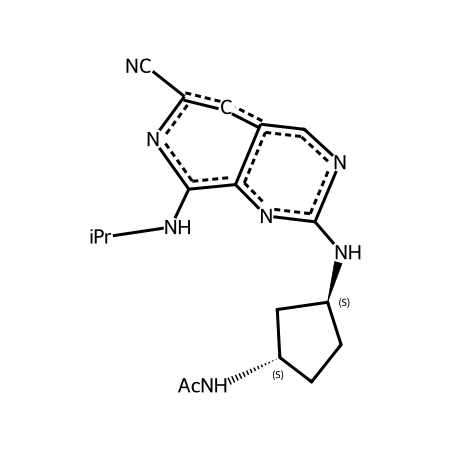 CC(=O)N[C@H]1CC[C@H](Nc2ncc3cc(C#N)nc(NC(C)C)c3n2)C1